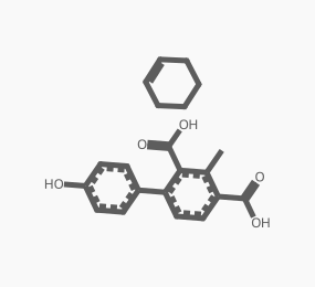 C1=CCCCC1.Cc1c(C(=O)O)ccc(-c2ccc(O)cc2)c1C(=O)O